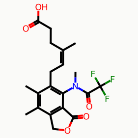 CC(=CCc1c(C)c(C)c2c(c1N(C)C(=O)C(F)(F)F)C(=O)OC2)CCC(=O)O